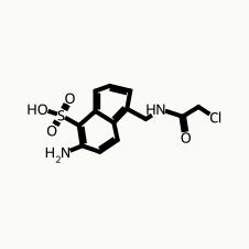 Nc1ccc2c(CNC(=O)CCl)cccc2c1S(=O)(=O)O